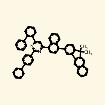 CC1(C)c2ccc(-c3ccc(-c4cc(-c5ccccc5-c5ccccc5)nc(-c5ccc(-c6ccccc6)cc5)n4)c4ccccc34)cc2-c2cc3ccccc3cc21